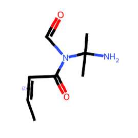 C/C=C\C(=O)N(C=O)C(C)(C)N